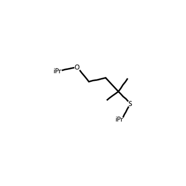 CC(C)OCCC(C)(C)SC(C)C